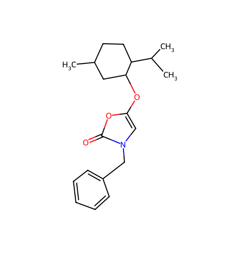 CC1CCC(C(C)C)C(Oc2cn(Cc3ccccc3)c(=O)o2)C1